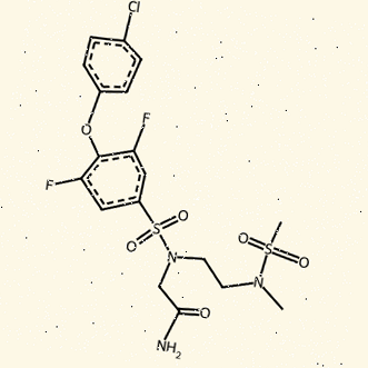 CN(CCN(CC(N)=O)S(=O)(=O)c1cc(F)c(Oc2ccc(Cl)cc2)c(F)c1)S(C)(=O)=O